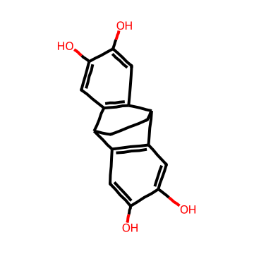 Oc1cc2c(cc1O)C1CCC2c2cc(O)c(O)cc21